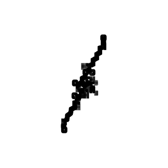 CC(C)c1[nH]c(NC(=O)NCCCCCCN=C=O)nc(=O)c1CCOC(=O)NCCCCCCN=C=O